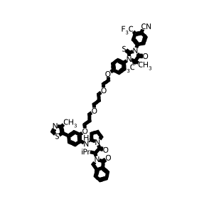 Cc1ncsc1-c1ccc(N[C@@H]2CCCN2C(=O)C(C(C)C)N2Cc3ccccc3C2=O)c(OCCCOCCCOCCOc2ccc(N3C(=S)N(c4ccc(C#N)c(C(F)(F)F)c4)C(=O)C3(C)C)cc2)c1